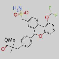 COC(=O)C(C)(C)Cc1ccc(C2Oc3cccc(OC(F)F)c3-c3ccc(CS(N)(=O)=O)cc32)cc1